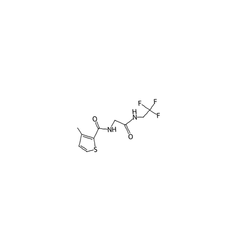 Cc1ccsc1C(=O)NCC(=O)NCC(F)(F)F